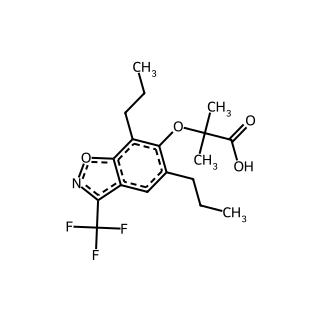 CCCc1cc2c(C(F)(F)F)noc2c(CCC)c1OC(C)(C)C(=O)O